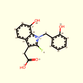 O=C(O)Cc1c(F)n(Cc2ccccc2O)c2c(O)cccc12